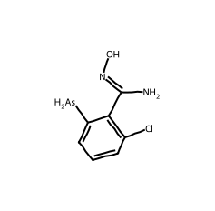 NC(=NO)c1c(Cl)cccc1[AsH2]